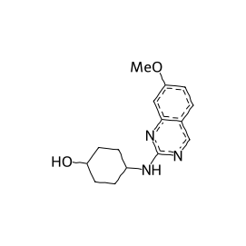 COc1ccc2cnc(NC3CCC(O)CC3)nc2c1